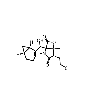 C[C@]12OC(=O)C1([C@@H](O)C1=CCC[C@@H]3C[C@H]13)NC(=O)[C@@H]2CCCl